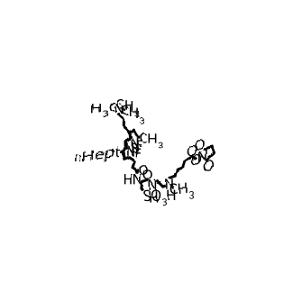 CCCCCCCC1=CC(CCC(=O)NC(CS(=O)(=O)O)C(=O)NCCN(C)CCCCCC(=O)ON2C(=O)CCC2=O)=[N+]2C1=Cc1c(CCC[N+](C)(C)C)cc(C)n1[B-]2(F)F